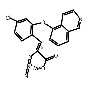 COC(=O)/C(=C/c1ccc(Cl)cc1Oc1cccc2cnccc12)N=[N+]=[N-]